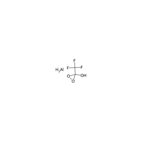 OC1(C(F)(F)F)OO1.[AlH3]